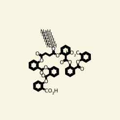 O=C(CCC(=O)Oc1ccccc1C(=O)Oc1ccccc1C(=O)Oc1ccccc1C(=O)O)Oc1ccccc1C(=O)Oc1ccccc1C(=O)Oc1ccccc1C(=O)O.[NaH].[NaH].[NaH].[NaH].[NaH].[NaH]